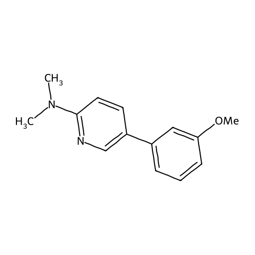 COc1cccc(-c2ccc(N(C)C)nc2)c1